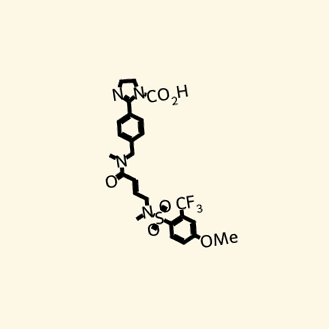 COc1ccc(S(=O)(=O)N(C)CC=CC(=O)N(C)Cc2ccc(C3=NCCN3C(=O)O)cc2)c(C(F)(F)F)c1